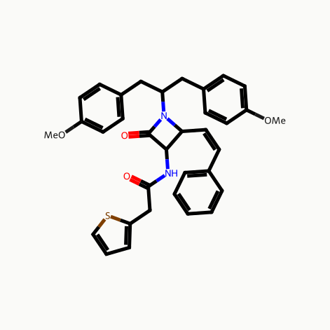 COc1ccc(CC(Cc2ccc(OC)cc2)N2C(=O)C(NC(=O)Cc3cccs3)C2C=Cc2ccccc2)cc1